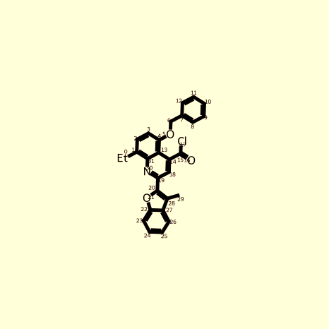 CCc1ccc(OCc2ccccc2)c2c(C(=O)Cl)cc(-c3oc4ccccc4c3C)nc12